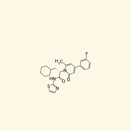 Cc1cc(-c2cccc(F)c2)cc(=O)n1[C@@H](CC1CCCCC1)C(=O)Nc1nccs1